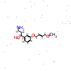 COC/C=C/COc1cccc(C(O)CCN)c1